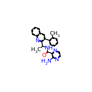 Cc1ccccc1-c1cc2ccccc2nc1C(C)NC(=O)c1nccnc1N